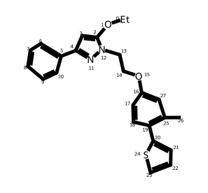 CCOc1cc(-c2ccccc2)nn1CCOc1ccc(-c2cccs2)c(C)c1